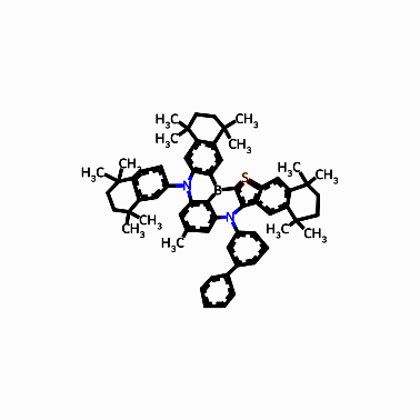 Cc1cc2c3c(c1)N(c1cccc(-c4ccccc4)c1)c1c(sc4cc5c(cc14)C(C)(C)CCC5(C)C)B3c1cc3c(cc1N2c1ccc2c(c1)C(C)(C)CCC2(C)C)C(C)(C)CCC3(C)C